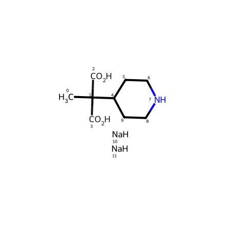 CC(C(=O)O)(C(=O)O)C1CCNCC1.[NaH].[NaH]